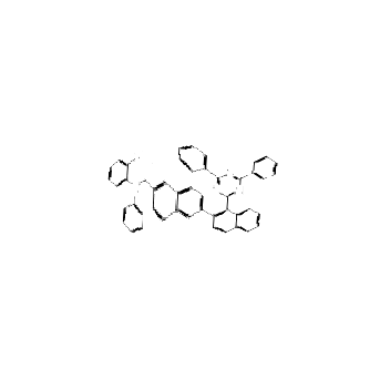 Nc1ccccc1N(Cc1ccc2cc(-c3ccc4ccccc4c3-c3nc(-c4ccccc4)nc(-c4ccccc4)n3)ccc2c1)c1ccccc1